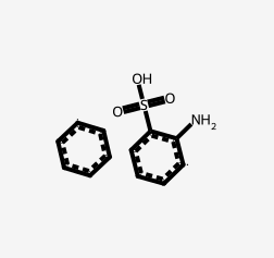 Nc1[c]cccc1S(=O)(=O)O.[c]1ccccc1